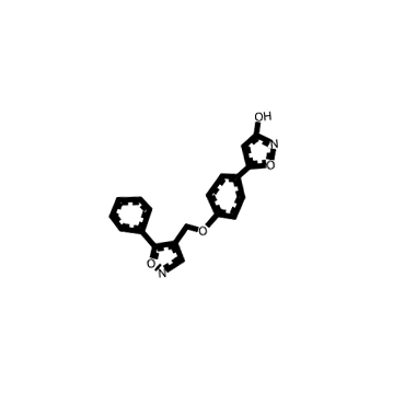 Oc1cc(-c2ccc(OCc3cnoc3-c3ccccc3)cc2)on1